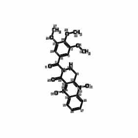 COc1cc(C(=O)N2NCc3c([n+]([O-])c4ccccc4[n+]3[O-])C2=O)cc(OC)c1OC